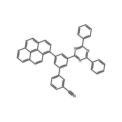 N#Cc1cccc(-c2cc(-c3nc(-c4ccccc4)nc(-c4ccccc4)n3)cc(-c3ccc4ccc5cccc6ccc3c4c56)c2)c1